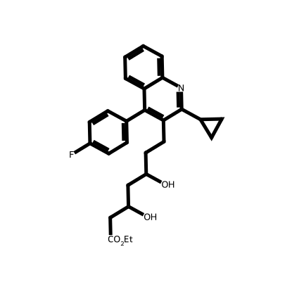 CCOC(=O)CC(O)CC(O)CCc1c(C2CC2)nc2ccccc2c1-c1ccc(F)cc1